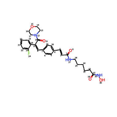 O=C(C=Cc1ccc(C=C(C(=O)N2CCOCC2)c2ccccc2F)cc1)NCCCCCC(=O)NO